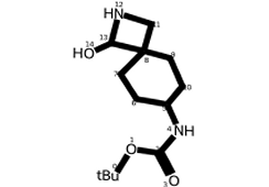 CC(C)(C)OC(=O)NC1CCC2(CC1)CNC2O